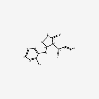 CC=CC(=O)N1C(=O)OCC1Cc1ccccc1C